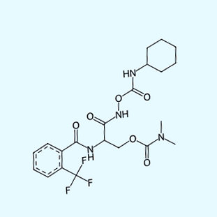 CN(C)C(=O)OCC(NC(=O)c1ccccc1C(F)(F)F)C(=O)NOC(=O)NC1CCCCC1